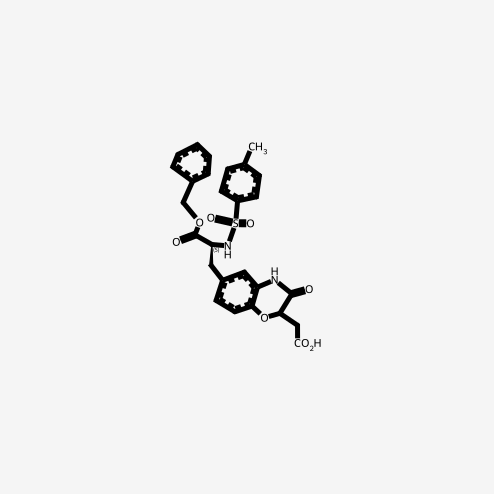 Cc1ccc(S(=O)(=O)N[C@@H](Cc2ccc3c(c2)NC(=O)C(CC(=O)O)O3)C(=O)OCc2ccccc2)cc1